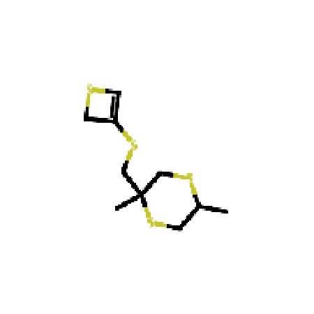 CC1CSC(C)(CSC2=CSC2)CS1